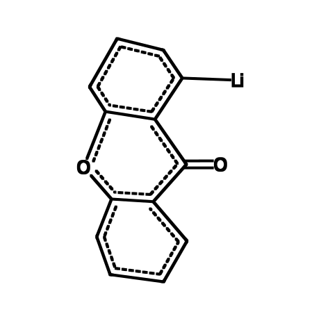 [Li][c]1cccc2oc3ccccc3c(=O)c12